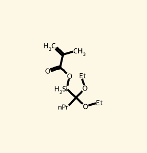 C=C(C)C(=O)O[SiH2]C(CCC)(OCC)OCC